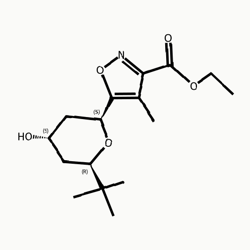 CCOC(=O)c1noc([C@@H]2C[C@@H](O)C[C@H](C(C)(C)C)O2)c1C